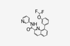 O=C(Nc1cccnc1)c1ccc2cccc(-c3cccc(OC(F)F)c3)c2n1